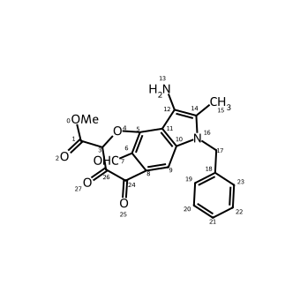 COC(=O)C1Oc2c(C=O)c(cc3c2c(N)c(C)n3Cc2ccccc2)C(=O)C1=O